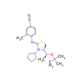 Cc1cc(C#N)ccc1/N=C1\SC[C@@H]([C@H](C)OC(C)(C)C)N1C1CCCC1